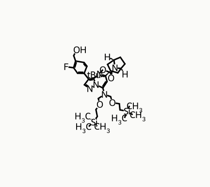 CC(C)(C)OC(=O)N1[C@@H]2CC[C@H]1C[C@H](c1cc(N(COCC[Si](C)(C)C)COCC[Si](C)(C)C)n3ncc(-c4ccc(CO)c(F)c4)c3n1)C2